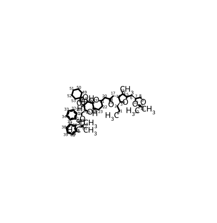 CCC[C@@H]1OC(C[C@H]2COC(C)(C)O2)[C@H](C)[C@H]1CC(=O)CC1CC[C@@H]2O[C@@H](CO[Si](c3ccccc3)(c3ccccc3)C(C)(C)C)[C@H]3OC4(CCCCC4)O[C@H]3[C@H]2O1